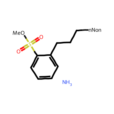 CCCCCCCCCCCCc1ccccc1S(=O)(=O)OC.N